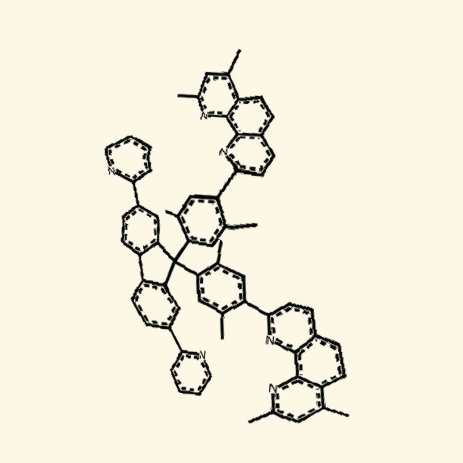 Cc1cc(C)c2ccc3ccc(-c4cc(C)c(C5(c6cc(C)c(-c7ccc8ccc9c(C)cc(C)nc9c8n7)cc6C)c6cc(-c7ccccn7)ccc6-c6ccc(-c7ccccn7)cc65)cc4C)nc3c2n1